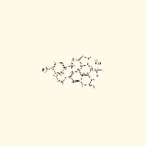 CC1(C)Cc2nc(C3C=CCC3)c(C(=O)c3ccc(C(F)(F)F)cc3)c(C3CCCC3)c2C(O[Si](C)(C)C(C)(C)C)C1